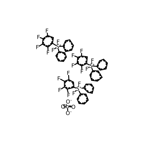 Fc1cc([S+](F)(F)(c2ccccc2)c2ccccc2)c(F)c(F)c1F.Fc1cc([S+](F)(F)(c2ccccc2)c2ccccc2)c(F)c(F)c1F.Fc1cc([S+](F)(F)(c2ccccc2)c2ccccc2)c(F)c(F)c1F.[O]=[Sb]([O-])([O-])[O-]